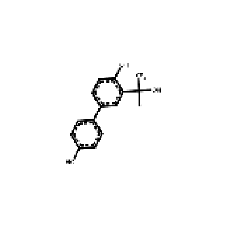 CC(O)(c1cc(-c2ccc(O)cc2)ccc1O)C(F)(F)F